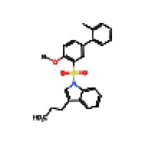 CCOc1ccc(-c2ccccc2C)cc1S(=O)(=O)n1cc(CCC(=O)O)c2ccccc21